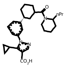 CCCC1CCCCN1C(=O)C1CCC[C@@H](c2cccc(-n3ncc(C(=O)O)c3C3CC3)c2)C1